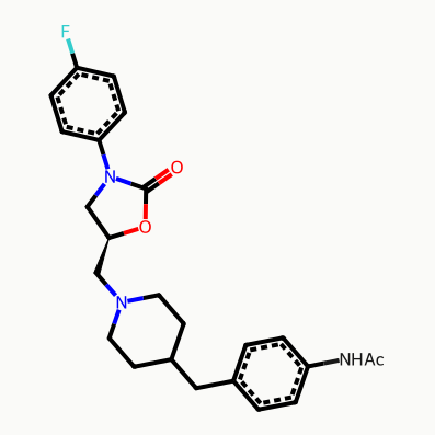 CC(=O)Nc1ccc(CC2CCN(C[C@H]3CN(c4ccc(F)cc4)C(=O)O3)CC2)cc1